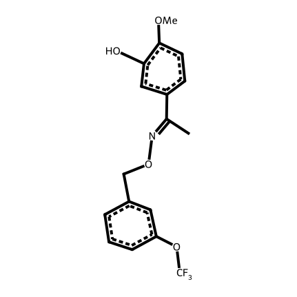 COc1ccc(/C(C)=N/OCc2cccc(OC(F)(F)F)c2)cc1O